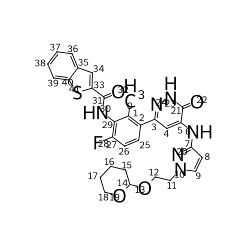 Cc1c(-c2cc(Nc3ccn(CCOC4CCCCO4)n3)c(=O)[nH]n2)ccc(F)c1NC(=O)c1cc2ccccc2s1